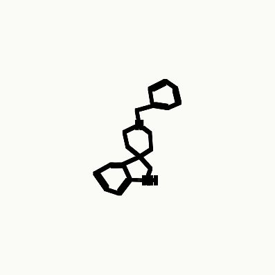 c1ccc(CN2CCC3(CC2)CNc2ccccc23)cc1